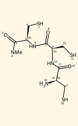 CNC(=O)[C@@H](CS)NC(=O)[C@@H](CS)NC(=O)[C@H](N)CS